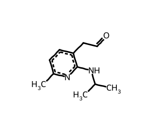 Cc1ccc(CC=O)c(NC(C)C)n1